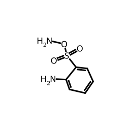 NOS(=O)(=O)c1ccccc1N